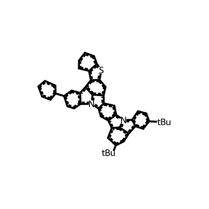 CC(C)(C)c1ccc2c(c1)c1cc(C(C)(C)C)cc3c4cc5c(cc4n2c13)c1cc2sc3ccccc3c2c2c3cc(-c4ccccc4)ccc3n5c12